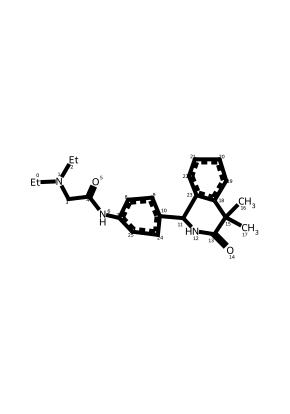 CCN(CC)CC(=O)Nc1ccc(C2NC(=O)C(C)(C)c3ccccc32)cc1